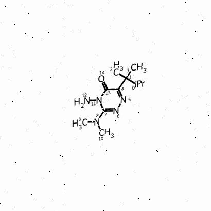 CC(C)C(C)(C)c1nnc(N(C)C)n(N)c1=O